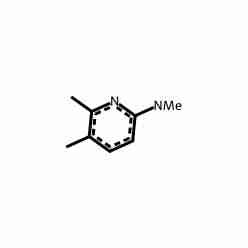 CNc1ccc(C)c(C)n1